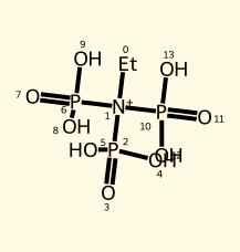 CC[N+](P(=O)(O)O)(P(=O)(O)O)P(=O)(O)O